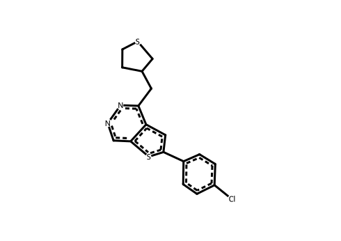 Clc1ccc(-c2cc3c(CC4CCSC4)nncc3s2)cc1